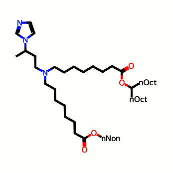 CCCCCCCCCOC(=O)CCCCCCCN(CCCCCCCC(=O)OC(CCCCCCCC)CCCCCCCC)CCC(C)n1ccnc1